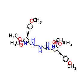 CCOP(C)(=O)c1cc(C#Cc2ccc(OC)cc2)cc(CNCCNCCNCc2cc(C#Cc3ccc(OC)cc3)cc(P(C)(=O)OCC)n2)n1